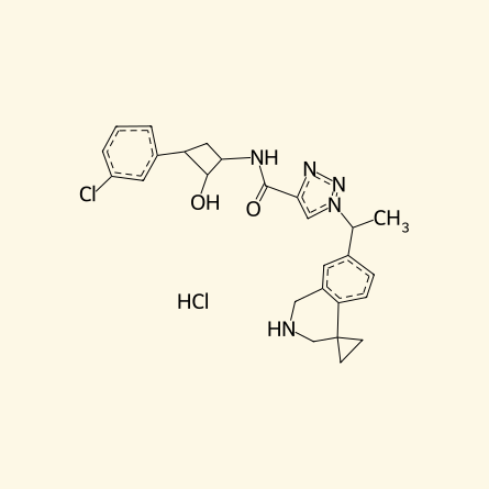 CC(c1ccc2c(c1)CNCC21CC1)n1cc(C(=O)NC2CC(c3cccc(Cl)c3)C2O)nn1.Cl